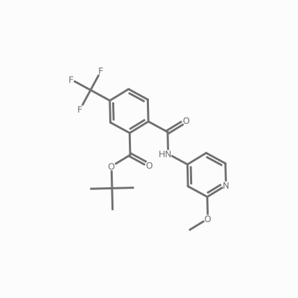 COc1cc(NC(=O)c2ccc(C(F)(F)F)cc2C(=O)OC(C)(C)C)ccn1